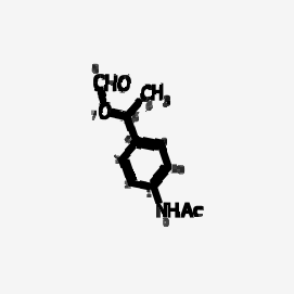 CC(=O)Nc1ccc(C(C)OC=O)cc1